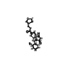 O=C(CCC1CCCC1)N1CCC2(CC1)NCC(=O)N2Cc1ccccc1F